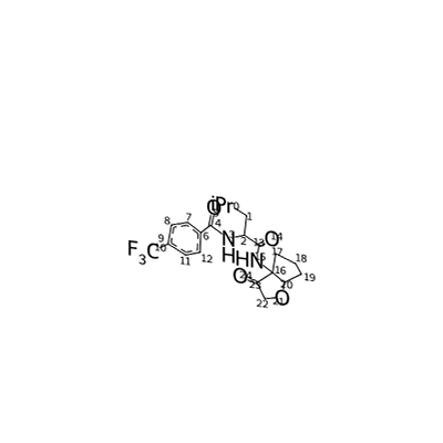 CC(C)CC(NC(=O)c1ccc(C(F)(F)F)cc1)C(=O)NC12CCCC1OCC2=O